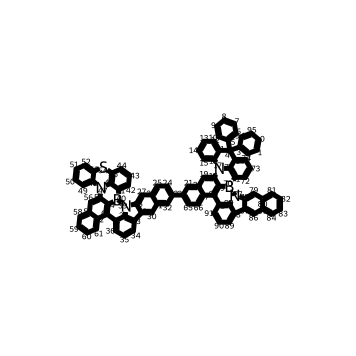 c1ccc(C2(c3ccccc3)c3ccccc3N3c4cc5cc(-c6ccc7cc8c(cc7c6)c6cccc7c6n8B6c8cccc9c8N(c8ccccc8S9)c8cc9ccccc9c-7c86)ccc5c5c4B(c4cccc2c43)n2c3cc4ccccc4cc3c3cccc-5c32)cc1